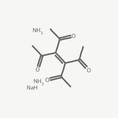 CC(=O)C(C(C)=O)=C(C(C)=O)C(C)=O.N.N.[NaH]